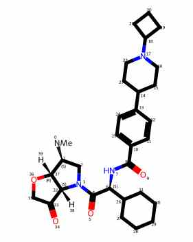 CN[C@H]1CN(C(=O)[C@@H](NC(=O)c2ccc(C3CCN(C4CCC4)CC3)cc2)C2CCCCC2)[C@@H]2C(=O)CO[C@H]12